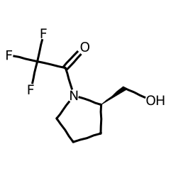 O=C(N1CCC[C@@H]1CO)C(F)(F)F